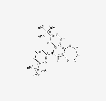 CCC[Si](CCC)(CCC)c1cccc(P(NC2CCCCCC2)c2cccc([Si](CCC)(CCC)CCC)c2)c1